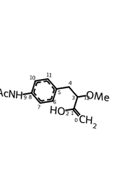 C=C(O)C(Cc1ccc(NC(C)=O)cc1)OC